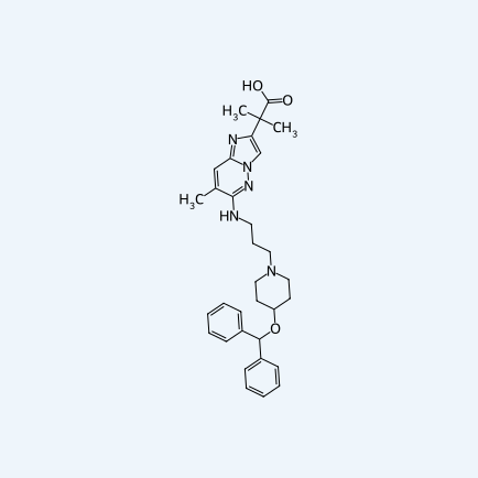 Cc1cc2nc(C(C)(C)C(=O)O)cn2nc1NCCCN1CCC(OC(c2ccccc2)c2ccccc2)CC1